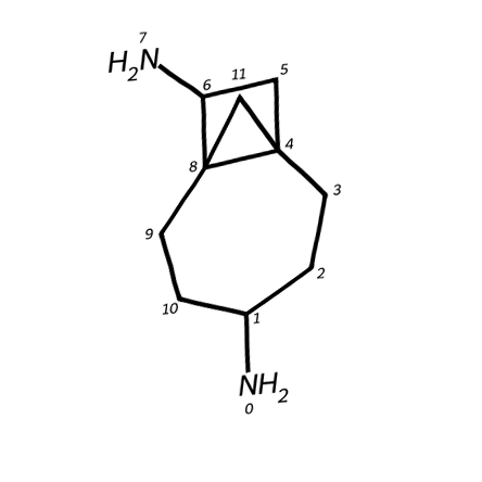 NC1CCC23CC(N)C2(CC1)C3